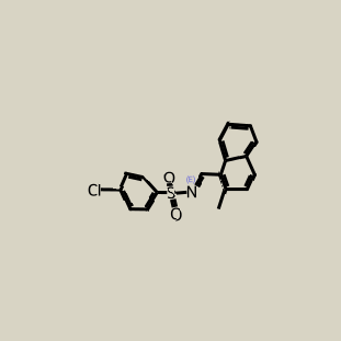 Cc1ccc2ccccc2c1/C=N/S(=O)(=O)c1ccc(Cl)cc1